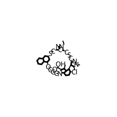 CCn1nc2cc1CSCc1nn(C)c(C)c1-c1c(Cl)ccc3c1c(C)c(C(=O)O)n3CCCOc1cc(cc3ccccc13)SC2